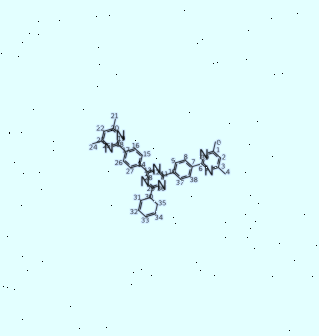 Cc1cc(C)nc(-c2ccc(-c3nc(-c4ccc(-c5nc(C)cc(C)n5)cc4)nc(C4C=CC=CC4)n3)cc2)n1